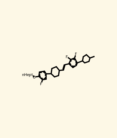 CCCCCCCOc1ccc(C2CCC(/C=C/c3ccc(C4CCC(C)CC4)c(F)c3F)CC2)cc1F